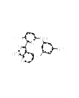 Nc1cc(Cl)cc(Nc2ccc(C(F)(F)F)c(-c3n[nH]c4ncccc34)n2)c1